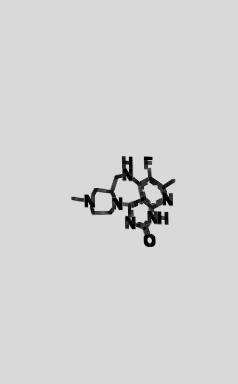 Cc1nc2[nH]c(=O)nc3c2c(c1F)NCC1CN(C)CCN31